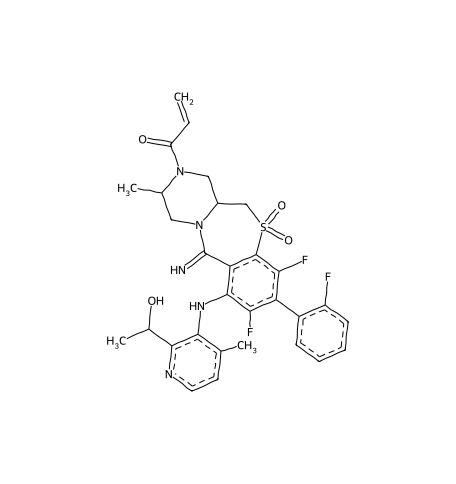 C=CC(=O)N1CC2CS(=O)(=O)c3c(F)c(-c4ccccc4F)c(F)c(Nc4c(C)ccnc4C(C)O)c3C(=N)N2CC1C